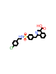 O=C(O)c1cnc(Cc2ccc(S(=O)(=O)NCCc3ccc(Cl)cc3)cc2)c2ccccc12